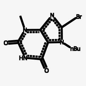 CCCCn1c(Br)nc2c1c(=O)[nH]c(=O)n2C